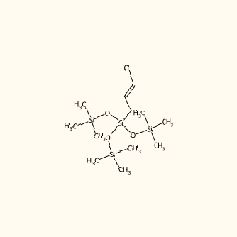 C[Si](C)(C)O[Si](CC=CCl)(O[Si](C)(C)C)O[Si](C)(C)C